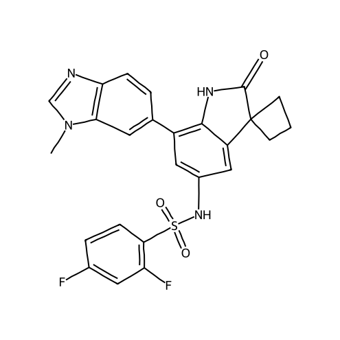 Cn1cnc2ccc(-c3cc(NS(=O)(=O)c4ccc(F)cc4F)cc4c3NC(=O)C43CCC3)cc21